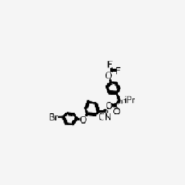 CC(C)[C@H](C(=O)O[C@H](C#N)c1cccc(Oc2ccc(Br)cc2)c1)c1ccc(OC(F)F)cc1